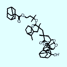 CC(CC(C)(CC(C)(CC1C2CCC(C2)C1C)C(=O)OC(C)(C)CCOC(=O)C12CC3CC(CC(C3)C1)C2)C(=O)OC1C2CC3C(=O)OC1C3C2)C(=O)OC12CC3CC(CC(O)(C3)C1)C2